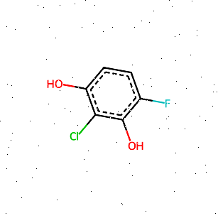 Oc1ccc(F)c(O)c1Cl